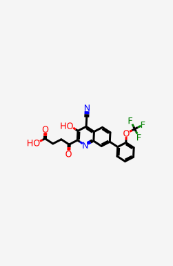 N#Cc1c(O)c(C(=O)CCC(=O)O)nc2cc(-c3ccccc3OC(F)(F)F)ccc12